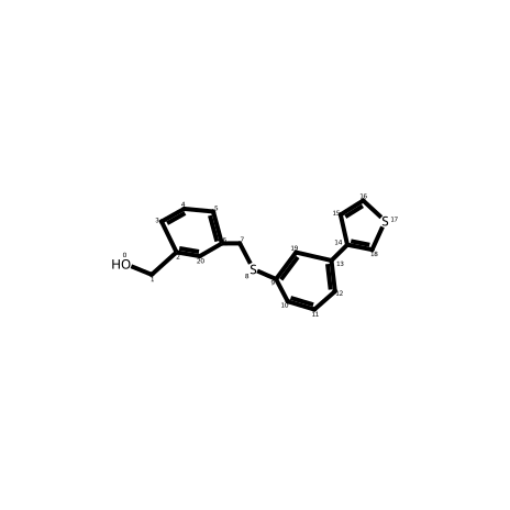 OCc1cccc(CSc2cccc(-c3ccsc3)c2)c1